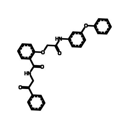 O=C(COc1ccccc1C(=O)NCC(=O)c1ccccc1)Nc1cccc(Oc2ccccc2)c1